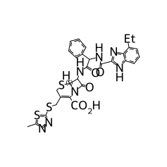 CCc1cccc2[nH]c(C(=O)NC(C(=O)NC3C(=O)N4C(C(=O)O)=C(CSc5nnc(C)s5)CS[C@@H]34)c3ccccc3)nc12